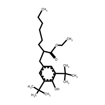 CCCCCCC(Cc1cc(C(C)(C)C)c(O)c(C(C)(C)C)c1)C(=O)OCC